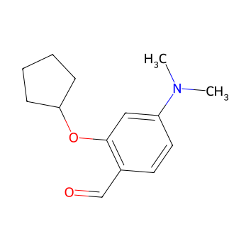 CN(C)c1ccc(C=O)c(OC2CCCC2)c1